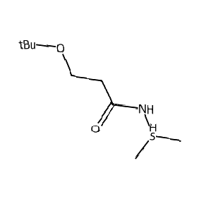 C[SH](C)NC(=O)CCOC(C)(C)C